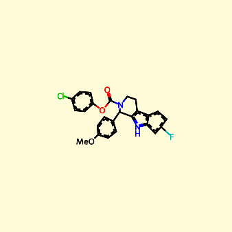 COc1ccc(C2c3[nH]c4cc(F)ccc4c3CCN2C(=O)Oc2ccc(Cl)cc2)cc1